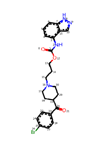 O=C(Nc1cccc2[nH]ncc12)OCCCN1CCC(C(=O)c2ccc(Br)cc2)CC1